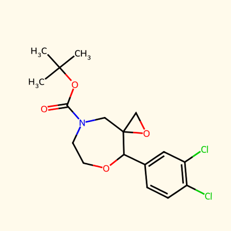 CC(C)(C)OC(=O)N1CCOC(c2ccc(Cl)c(Cl)c2)C2(CO2)C1